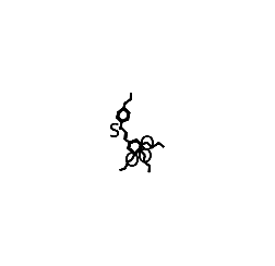 CCCOc1cc(C=CC(=S)c2ccc(CCC)cc2)cc(OCCC)c1OCCC